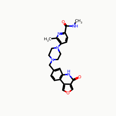 CNC(=O)c1ccc(N2CCN(Cc3ccc4c(c3)[nH]c(=O)c3cocc34)CC2)c(C)n1